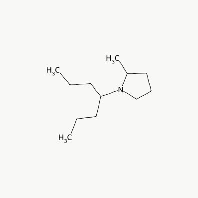 CCCC(CCC)N1CCCC1C